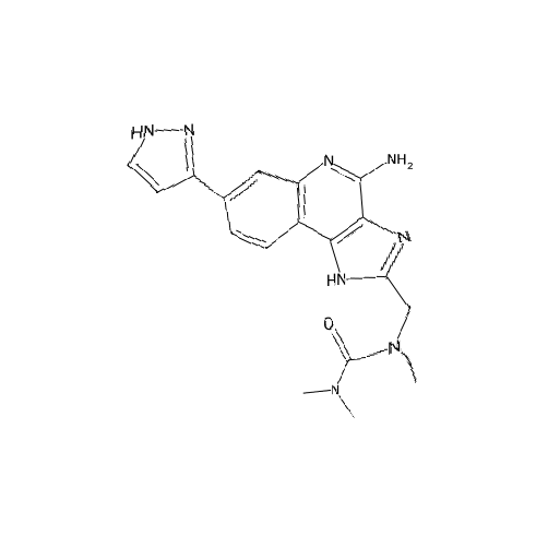 CN(C)C(=O)N(C)Cc1nc2c(N)nc3cc(-c4cc[nH]n4)ccc3c2[nH]1